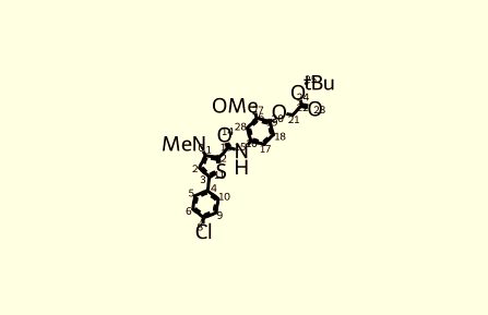 CNc1cc(-c2ccc(Cl)cc2)sc1C(=O)Nc1ccc(OCC(=O)OC(C)(C)C)c(OC)c1